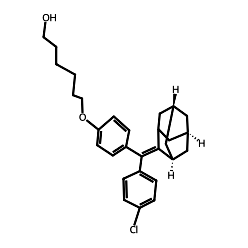 OCCCCCCOc1ccc(C(c2ccc(Cl)cc2)=C2C3C[C@H]4C[C@@H](C3)C[C@H]2C4)cc1